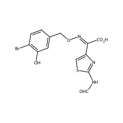 O=CNc1nc(C(=NOCc2ccc(Br)c(O)c2)C(=O)O)cs1